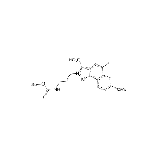 COc1ccc2c(c1)c(C)cc1c(C(=O)O)n(CCCNC(=O)OC(C)(C)C)nc12